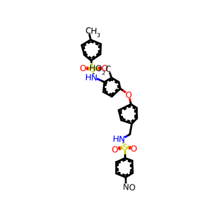 Cc1ccc(S(=O)(=O)Nc2ccc(Oc3ccc(CNS(=O)(=O)c4ccc(N=O)cc4)cc3)cc2C(=O)O)cc1